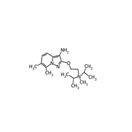 Cc1ccc2c(N)c(OCC[N+](C)(C(C)C)C(C)C)nn2c1C